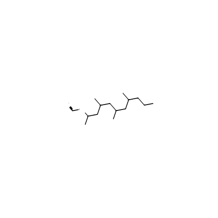 CCCC(C)CC(C)CC(C)CC(C)OC=O